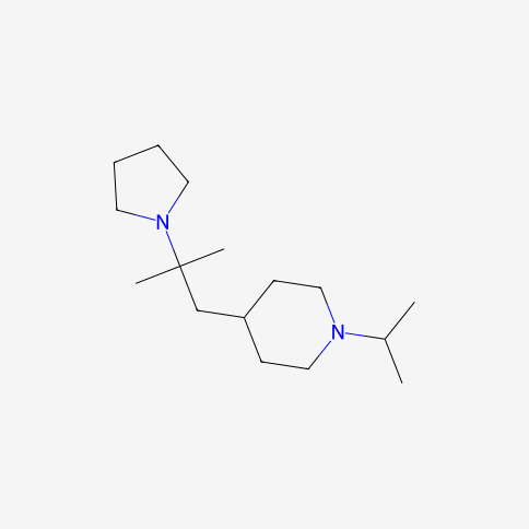 CC(C)N1CCC(CC(C)(C)N2CCCC2)CC1